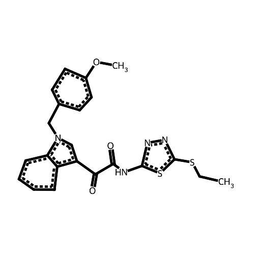 CCSc1nnc(NC(=O)C(=O)c2cn(Cc3ccc(OC)cc3)c3ccccc23)s1